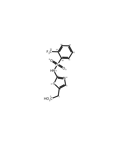 O=C(O)Cc1cnc(NS(=O)(=O)c2ccccc2C(F)(F)F)s1